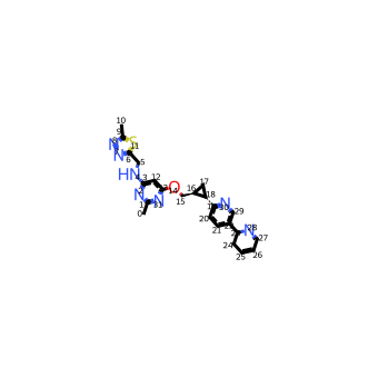 Cc1nc(NCc2nnc(C)s2)cc(OC[C@H]2C[C@@H]2c2ccc(C3CC=CC=N3)cn2)n1